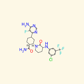 NC(=O)[C@H]1CCC(c2ncnc(N)c2F)C[C@@H]1N1CCCC(Nc2cc(Cl)cc(C(F)(F)F)c2)C1=O